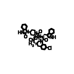 CN(C)C[C@H]1Cc2ccc(Cl)cc2N(C(=O)[C@@H](Cc2c[nH]c3ccccc23)NC(=O)N2CCC(n3c(=O)[nH]c4ccccc43)CC2)C1